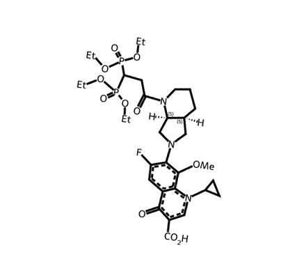 CCOP(=O)(OCC)C(CC(=O)N1CCC[C@H]2CN(c3c(F)cc4c(=O)c(C(=O)O)cn(C5CC5)c4c3OC)C[C@H]21)P(=O)(OCC)OCC